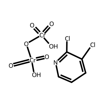 Clc1cccnc1Cl.[O]=[Cr](=[O])([OH])[O][Cr](=[O])(=[O])[OH]